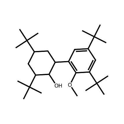 COc1c(C2CC(C(C)(C)C)CC(C(C)(C)C)C2O)cc(C(C)(C)C)cc1C(C)(C)C